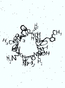 CCc1ccccc1CC(=O)N[C@H]1CCNC(=O)[C@H]([C@@H](C)O)NC(=O)[C@H](CCN)NC[C@@](C=O)(CCN)NC(=O)[C@H](CC(C)C)NC(=O)[C@@H](Cc2ccccc2)NC(=O)[C@H](CCN)NC1=O